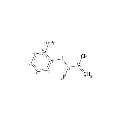 C=C(Cl)C(F)Cc1ccccc1CCC